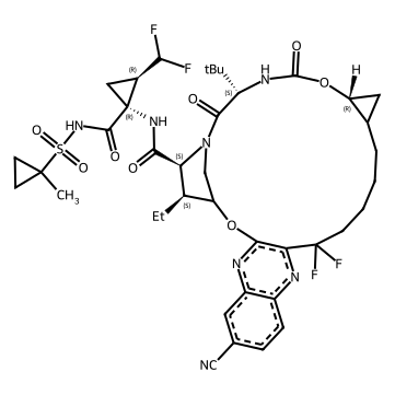 CC[C@@H]1C2CN(C(=O)[C@H](C(C)(C)C)NC(=O)O[C@@H]3CC3CCCCC(F)(F)c3nc4ccc(C#N)cc4nc3O2)[C@@H]1C(=O)N[C@]1(C(=O)NS(=O)(=O)C2(C)CC2)C[C@H]1C(F)F